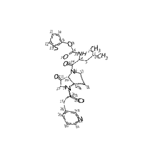 CC(C)CC(NC(=O)Oc1cccs1)C(=O)N1CCC2C1C(=O)CN2C(=O)Cc1cccnc1